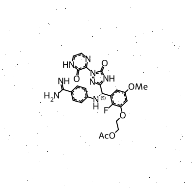 COc1cc(OCCOC(C)=O)c(F)c([C@H](Nc2ccc(C(=N)N)cc2)c2nn(-c3ncc[nH]c3=O)c(=O)[nH]2)c1